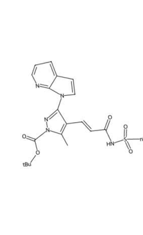 CCCCCS(=O)(=O)NC(=O)C=Cc1c(-n2ccc3cccnc32)nn(C(=O)OC(C)(C)C)c1C